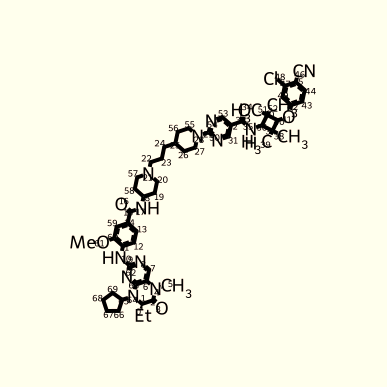 CC[C@@H]1C(=O)N(C)c2cnc(Nc3ccc(C(=O)NC4CCN(CCCC5CCN(c6ncc(C(=O)NC7C(C)(C)C(Oc8ccc(C#N)c(Cl)c8)C7(C)C)cn6)CC5)CC4)cc3OC)nc2N1C1CCCC1